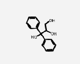 OCC(O)C(O)(c1ccccc1)c1ccccc1